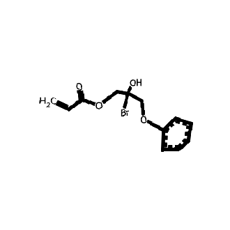 C=CC(=O)OCC(O)(Br)COc1ccccc1